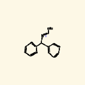 CCCC/C=N/C(c1ccccc1)c1ccccc1